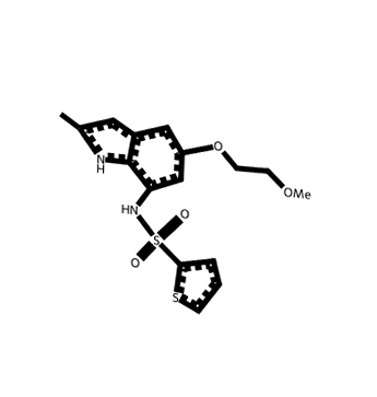 COCCOc1cc(NS(=O)(=O)c2cccs2)c2[nH]c(C)cc2c1